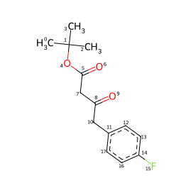 CC(C)(C)OC(=O)CC(=O)Cc1ccc(F)cc1